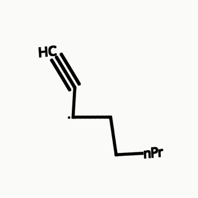 C#C[CH]CCCCC